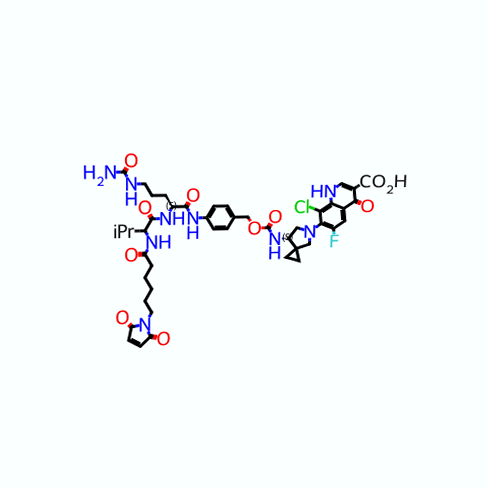 CC(C)C(NC(=O)CCCCCN1C(=O)C=CC1=O)C(=O)N[C@@H](CCCNC(N)=O)C(=O)Nc1ccc(COC(=O)N[C@@H]2CN(c3c(F)cc4c(=O)c(C(=O)O)c[nH]c4c3Cl)CC23CC3)cc1